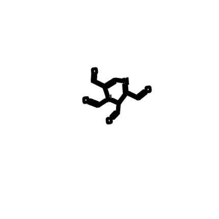 O=CC1=CN=C(C=O)C(C=O)N1C=O